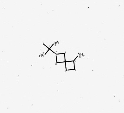 CCCC(C)(CCC)N1CC2(CCC2N)C1